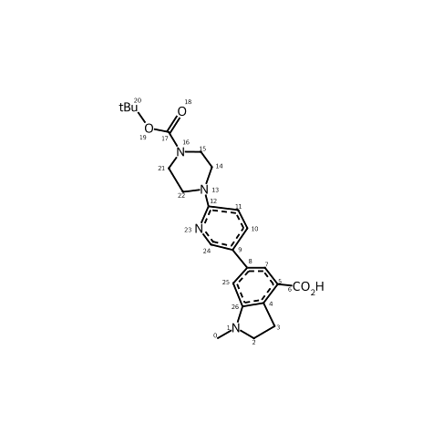 CN1CCc2c(C(=O)O)cc(-c3ccc(N4CCN(C(=O)OC(C)(C)C)CC4)nc3)cc21